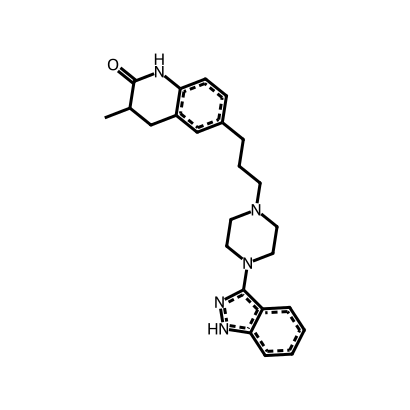 CC1Cc2cc(CCCN3CCN(c4n[nH]c5ccccc45)CC3)ccc2NC1=O